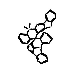 C[Si]1(C)c2ccccc2C2(c3ccccc3-n3c4ccccc4c4cccc2c43)c2cc3sc4ccccc4c3cc21